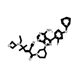 CC[As](C1COC1)C(C)(C)C=C(C#N)C(=O)N1CCCC(n2nc(-c3ccc(Oc4ccccc4)cc3F)c3c(N)ncnc32)C1